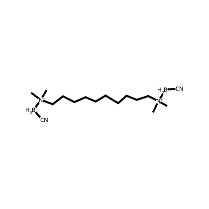 C[N+](C)([BH2-]C#N)CCCCCCCCCC[N+](C)(C)[BH2-]C#N